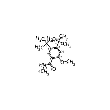 CNC(=O)c1cc(C(C)(C)C)c(C(C)(C)C)cc1OC